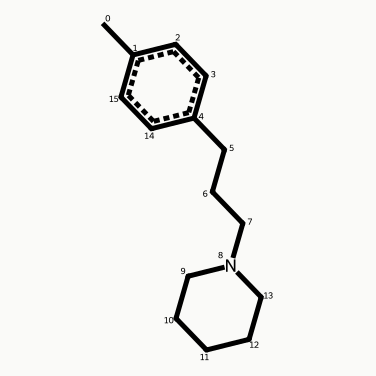 Cc1ccc(CCCN2CCCCC2)cc1